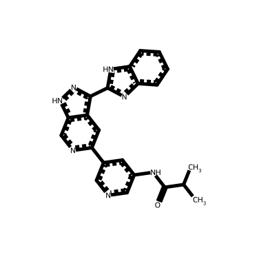 CC(C)C(=O)Nc1cncc(-c2cc3c(-c4nc5ccccc5[nH]4)n[nH]c3cn2)c1